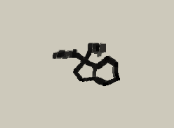 CCCCCC1(C(=O)O)CCc2ccccc21